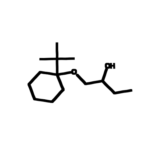 CCC(O)COC1(C(C)(C)C)CCCCC1